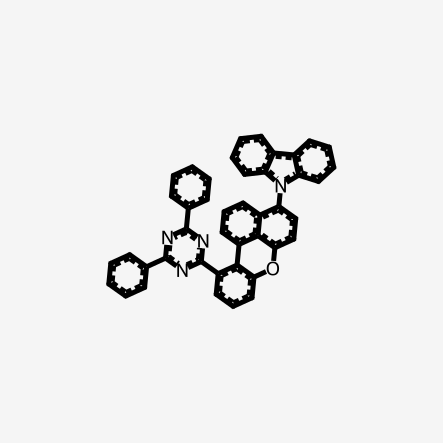 c1ccc(-c2nc(-c3ccccc3)nc(-c3cccc4c3-c3cccc5c(-n6c7ccccc7c7ccccc76)ccc(c35)O4)n2)cc1